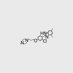 Cc1cc(C)c2nc(-c3ccc(OCCCN4CCN(C)CC4)cc3Cl)[nH]c2c1